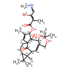 C/N=C\C(Br)=C(/C)C(=O)OC1C(C)=CC23CCC4[C@H](C(C=C5COC(C)(C)OC5C12O)C3=O)C4(C)C